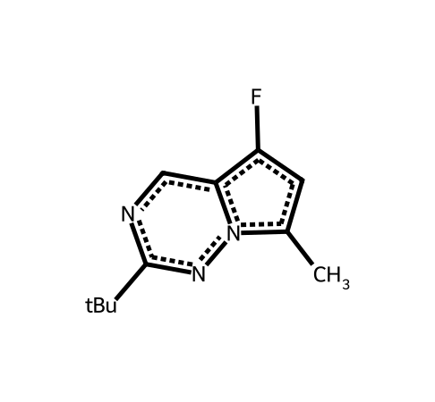 Cc1cc(F)c2cnc(C(C)(C)C)nn12